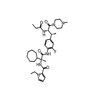 CCC(=O)N[C@@H](C(=O)N1CCN(C)CC1)[C@@H](C)c1ccc(NC(=O)[C@](C)(NC(=O)c2cccn2CC)C2CCCCCC2)c(F)c1